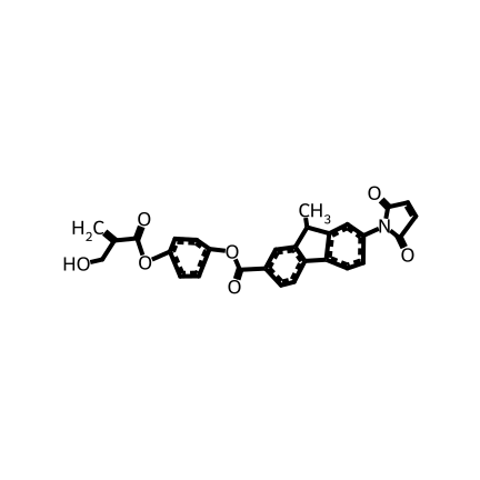 C=C(CO)C(=O)Oc1ccc(OC(=O)c2ccc3c(c2)C(C)c2cc(N4C(=O)C=CC4=O)ccc2-3)cc1